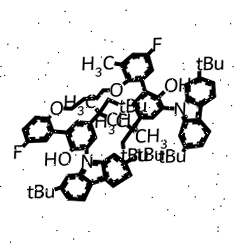 Cc1cc(F)cc(-c2cc(C(C)(C)CC(C)(C)C)cc(-n3c4cc(C(C)(C)C)ccc4c4ccc(C(C)(C)C)cc43)c2O)c1OCCCCOc1ccc(F)cc1-c1cc(C(C)(C)CC(C)(C)C)cc(-n2c3cc(C(C)(C)C)ccc3c3ccc(C(C)(C)C)cc32)c1O